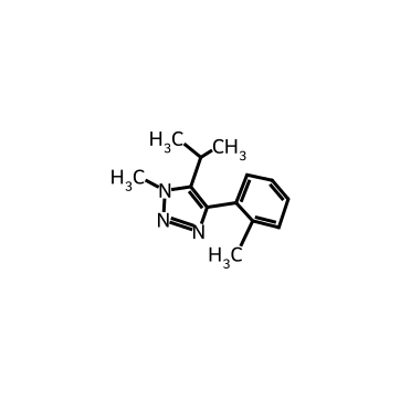 Cc1ccccc1-c1nnn(C)c1C(C)C